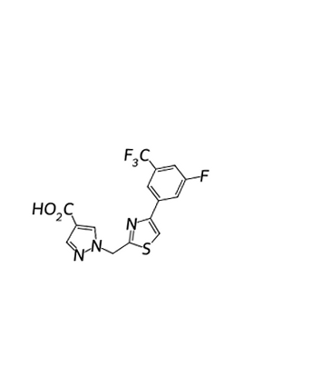 O=C(O)c1cnn(Cc2nc(-c3cc(F)cc(C(F)(F)F)c3)cs2)c1